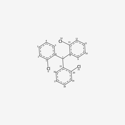 Clc1ccccc1[C](c1ccccc1Cl)c1ccccc1Cl